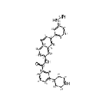 CC(C)Nc1cncc(-c2ccc3cnc(NC(=O)c4cccc(C5CCNCC5)c4)cc3c2)c1